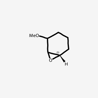 COC1CCC[C@@H]2OC12